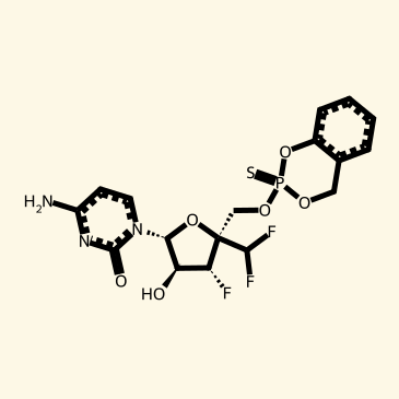 Nc1ccn([C@@H]2O[C@@](COP3(=S)OCc4ccccc4O3)(C(F)F)[C@H](F)[C@H]2O)c(=O)n1